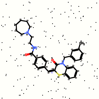 Cc1cccc(CN2C(=O)/C(=C\c3ccc(C(=O)NCCN4CCCCCC4)cc3)Sc3ccccc32)c1